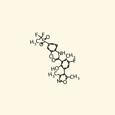 Cc1noc(C)c1-c1cc(F)c(C)c(C(=O)Nc2ccc(S(=O)(=O)C(C)(F)F)cc2Cl)c1O